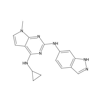 Cn1ccc2c(NC3CC3)nc(Nc3ccc4cn[nH]c4c3)nc21